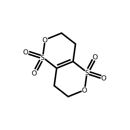 O=S1(=O)OCCC2=C1CCOS2(=O)=O